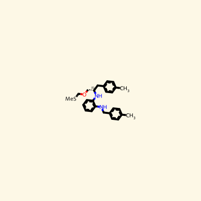 CSCOC[C@H](Cc1ccc(C)cc1)Nc1ccccc1NCc1ccc(C)cc1